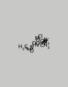 C[C@@H]1C[C@@H]1C(=O)N1CC(Oc2ncc(C(C)(C)N=[N+]=[N-])c3cc(Cl)ncc23)C1